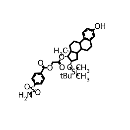 CC(C)(C)[Si](C)(C)O[C@@H]1CC2C3CCc4cc(O)ccc4C3CC[C@]2(C)[C@H]1OC(=O)COC(=O)c1ccc(S(N)(=O)=O)cc1